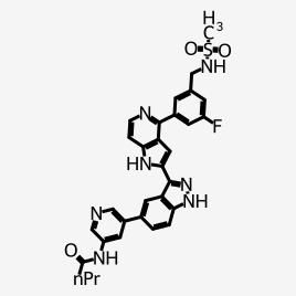 CCCC(=O)Nc1cncc(-c2ccc3[nH]nc(-c4cc5c(-c6cc(F)cc(CNS(C)(=O)=O)c6)nccc5[nH]4)c3c2)c1